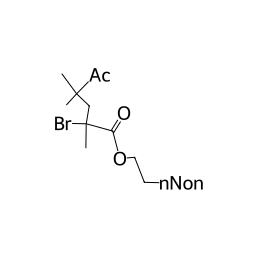 CCCCCCCCCCCOC(=O)C(C)(Br)CC(C)(C)C(C)=O